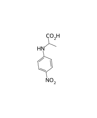 CC(Nc1ccc([N+](=O)[O-])cc1)C(=O)O